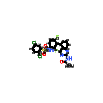 CC(C)(C)C(=O)Nc1ncc2c(-c3c(F)ccc(NS(=O)(=O)c4cc(Cl)ccc4Cl)c3F)cccc2n1